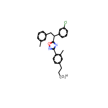 Cc1cccc(CC(c2cccc(Cl)c2)c2nc(-c3ccc(CCC(=O)O)cc3C)no2)c1